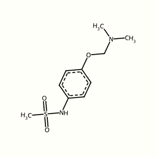 CN(C)COc1ccc(NS(C)(=O)=O)cc1